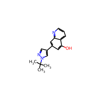 CC(C)(C)n1cc(-c2cc(O)c3cccnc3c2)cn1